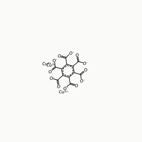 O=C([O-])c1c(C(=O)[O-])c(C(=O)[O-])c(C(=O)[O-])c(C(=O)[O-])c1C(=O)[O-].[Cu+2].[Cu+2].[Cu+2]